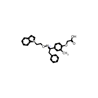 Cc1cc(/C(Cc2ccccc2)=N/OCCn2ccc3ccccc32)ccc1OCC(=O)O